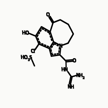 CS(=O)(=O)O.N=C(N)NC(=O)c1cc2c(Cl)c(O)cc3c2n1CCCCC3=O